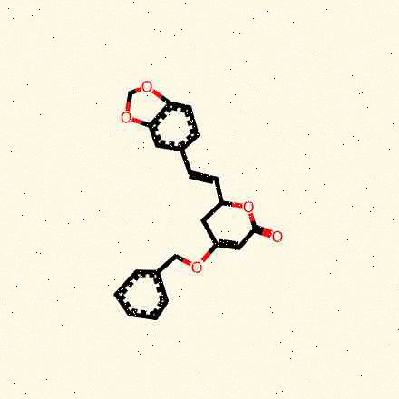 O=C1C=C(OCc2ccccc2)CC(/C=C/c2ccc3c(c2)OCO3)O1